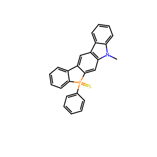 Cn1c2ccccc2c2cc3c(cc21)P(=S)(c1ccccc1)c1ccccc1-3